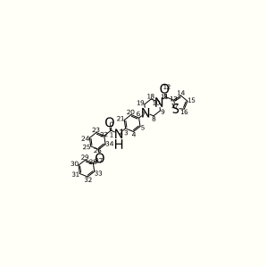 O=C(Nc1ccc(N2CCN(C(=O)c3cccs3)CC2)cc1)c1cccc(Oc2ccccc2)c1